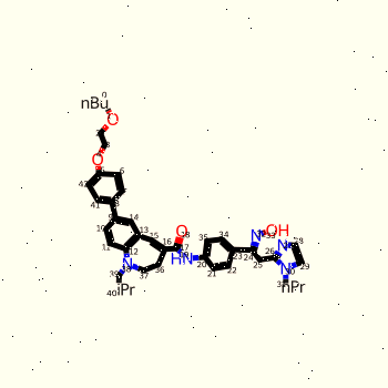 CCCCOCCOc1ccc(-c2ccc3c(c2)C=C(C(=O)Nc2ccc(C(Cc4nccn4CCC)=NO)cc2)CCN3CC(C)C)cc1